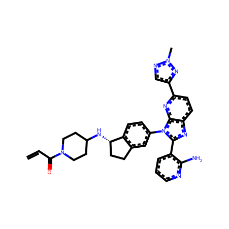 C=CC(=O)N1CCC(N[C@H]2CCc3cc(-n4c(-c5cccnc5N)nc5ccc(-c6cnn(C)n6)nc54)ccc32)CC1